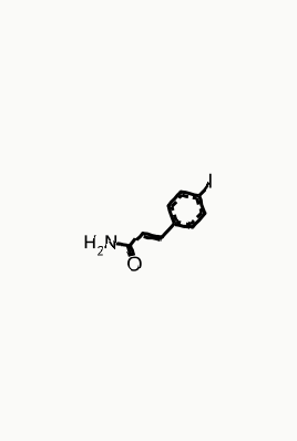 NC(=O)C=Cc1ccc(I)cc1